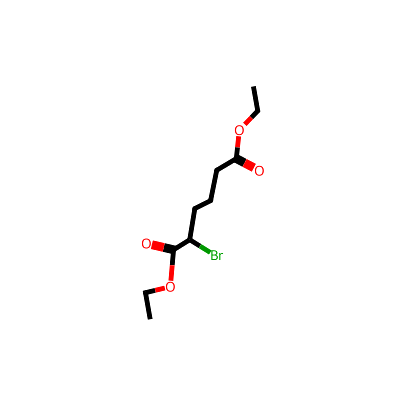 CCOC(=O)CCCC(Br)C(=O)OCC